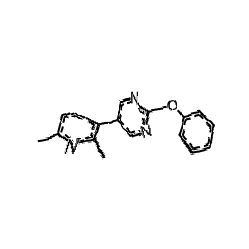 Cc1ccc(-c2cnc(Oc3ccccc3)nc2)c(C)n1